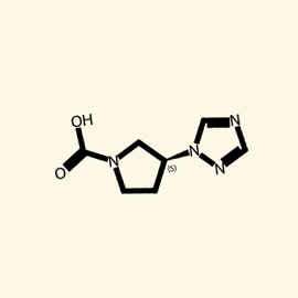 O=C(O)N1CC[C@H](n2cncn2)C1